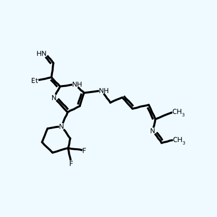 C\C=N/C(C)=C\C=C\CNC1=CC(N2CCCC(F)(F)C2)=N/C(=C(/C=N)CC)N1